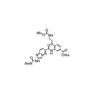 CNC(=O)Nc1cn2nc(C(=O)Nc3cc(C(=O)OC)ccc3OCCNC(=O)OC(C)(C)C)ccc2n1